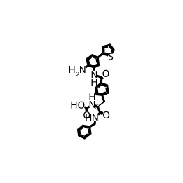 Nc1ccc(-c2cccs2)cc1NC(=O)c1ccc(C[C@H](NC(=O)O)C(=O)NCc2ccccc2)cc1